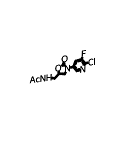 CC(=O)NCC1CN(c2cnc(Cl)c(F)c2)C(=O)O1